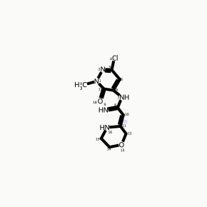 Cn1nc(Cl)cc(NC(=N)/C=C2/COCCN2)c1=O